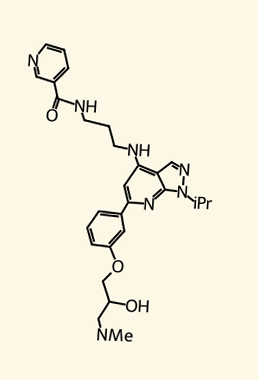 CNCC(O)COc1cccc(-c2cc(NCCCNC(=O)c3cccnc3)c3cnn(C(C)C)c3n2)c1